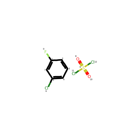 Fc1cccc(Cl)c1.O=S(=O)(Cl)Cl